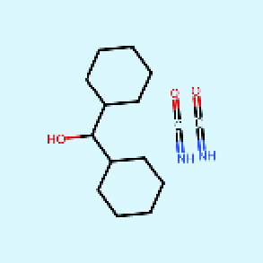 N=C=O.N=C=O.OC(C1CCCCC1)C1CCCCC1